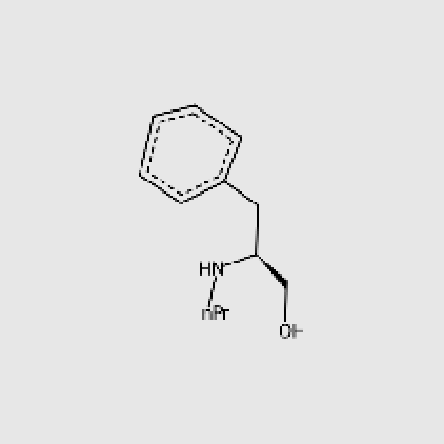 CCCN[C@H](CO)Cc1ccccc1